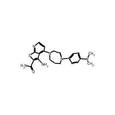 CN(C)c1ccc(N2CCCN(c3ccnc4sc(C(N)=O)c(N)c34)CC2)cc1